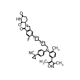 Cc1ccc(-c2c(C)noc2C)cc1N(CC1CN(C2CN(c3cc4c(cc3F)C(=O)N(C3CCC(=O)NC3=O)C4)C2)C1)c1ccc(C2(C#N)CC2)cc1